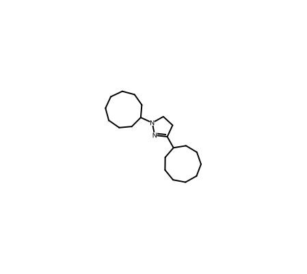 C1CCCCC(C2=NN(C3CCCCCCCC3)CC2)CCC1